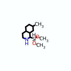 CO[SiH](OC)C1NCCC2CCC(C)CC21